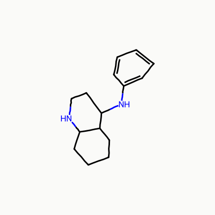 c1ccc(NC2CCNC3CCCCC32)cc1